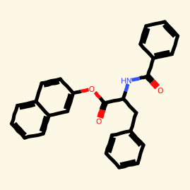 O=C(NC(Cc1ccccc1)C(=O)Oc1ccc2ccccc2c1)c1ccccc1